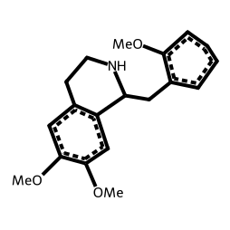 COc1ccccc1CC1NCCc2cc(OC)c(OC)cc21